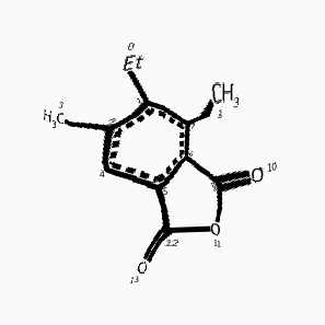 CCc1c(C)cc2c(c1C)C(=O)OC2=O